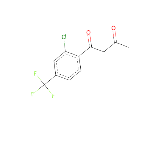 CC(=O)CC(=O)c1ccc(C(F)(F)F)cc1Cl